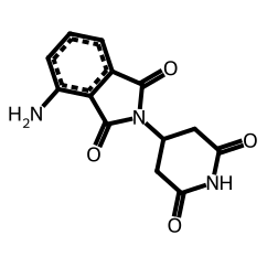 Nc1cccc2c1C(=O)N(C1CC(=O)NC(=O)C1)C2=O